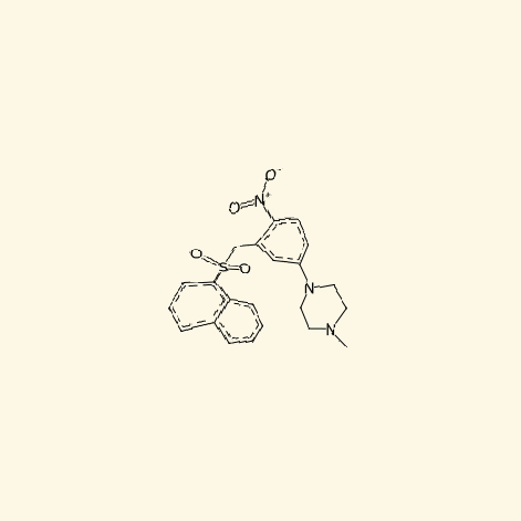 CN1CCN(c2ccc([N+](=O)[O-])c(CS(=O)(=O)c3cccc4ccccc34)c2)CC1